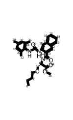 CCCCOC[C@H](NC(=O)c1cc2ccccc2cc1NC(=O)Nc1c(C)cc(C)cc1C)C(=O)OC